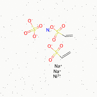 C=CS(=O)(=O)[O-].C=CS(=O)(=O)[O-].O=S(=O)([O-])[O-].[N].[Na+].[Na+].[Ni+2]